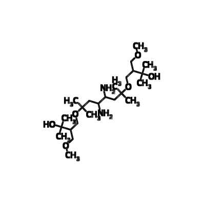 COCC(COC(C)(C)CC(N)C(N)CC(C)(C)OCC(COC)C(C)(C)O)C(C)(C)O